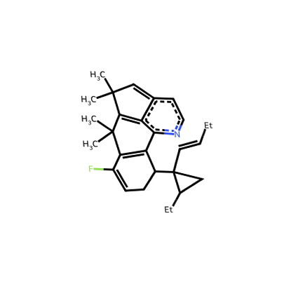 CCC=CC1(C2CC=C(F)C3=C2c2nccc4c2=C(C(C)(C)C=4)C3(C)C)CC1CC